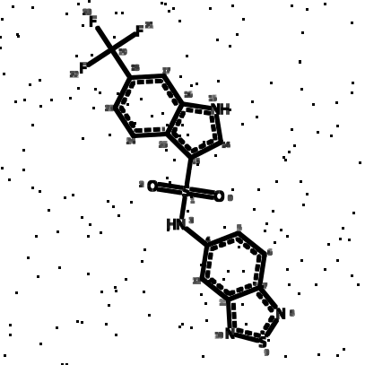 O=S(=O)(Nc1ccc2nsnc2c1)c1c[nH]c2cc(C(F)(F)F)ccc12